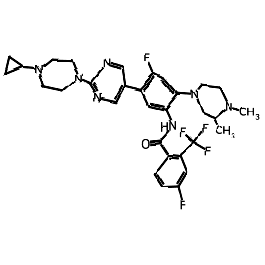 CC1CN(c2cc(F)c(-c3cnc(N4CCN(C5CC5)CC4)nc3)cc2NC(=O)c2ccc(F)cc2C(F)(F)F)CCN1C